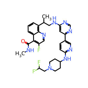 CNC(=O)c1c(F)cnc2c(C(C)CNc3cc(-c4ccc(NC5CCN(CC(F)F)CC5)nc4)ncn3)cccc12